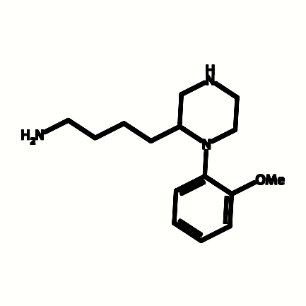 COc1ccccc1N1CCNCC1CCCCN